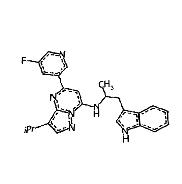 CC(Cc1c[nH]c2ccccc12)Nc1cc(-c2cncc(F)c2)nc2c(C(C)C)cnn12